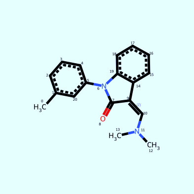 Cc1cccc(N2C(=O)/C(=C\N(C)C)c3ccccc32)c1